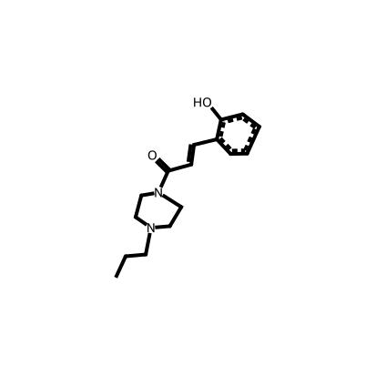 CCCN1CCN(C(=O)C=Cc2ccccc2O)CC1